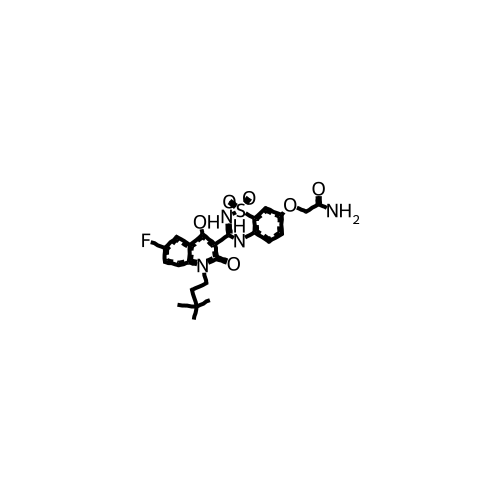 CC(C)(C)CCn1c(=O)c(C2=NS(=O)(=O)c3cc(OCC(N)=O)ccc3N2)c(O)c2cc(F)ccc21